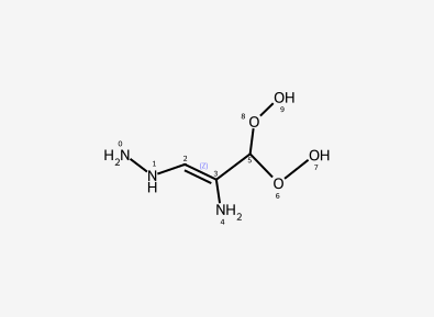 NN/C=C(\N)C(OO)OO